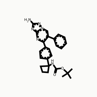 CC(C)(C)OC(=O)NC1(c2ccc(-c3nc4nc(N)nn4cc3-c3ccccc3)cc2)CCC1